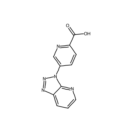 O=C(O)c1ccc(-n2nnc3cccnc32)cn1